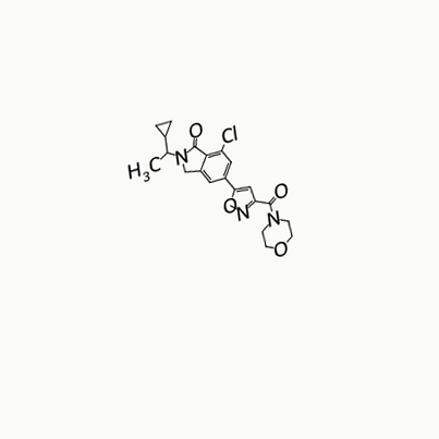 CC(C1CC1)N1Cc2cc(-c3cc(C(=O)N4CCOCC4)no3)cc(Cl)c2C1=O